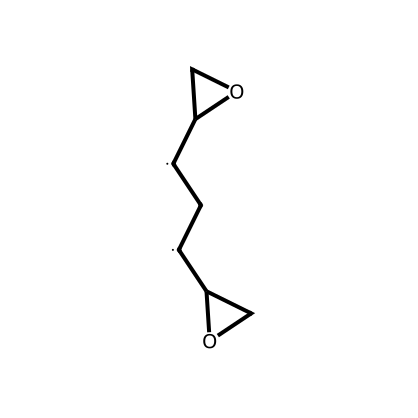 [CH](C[CH]C1CO1)C1CO1